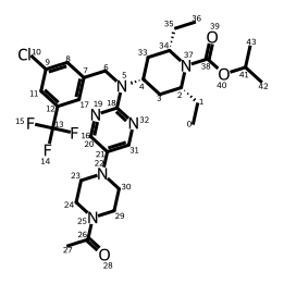 CC[C@@H]1C[C@H](N(Cc2cc(Cl)cc(C(F)(F)F)c2)c2ncc(N3CCN(C(C)=O)CC3)cn2)C[C@H](CC)N1C(=O)OC(C)C